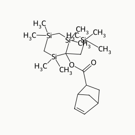 C[Si](C)(C)CC1(OC(=O)C2CC3C=CC2C3)[Si](C)(C)C[Si](C)(C)C[Si]1(C)C